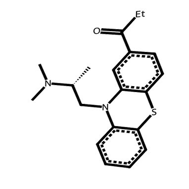 CCC(=O)c1ccc2c(c1)N(C[C@@H](C)N(C)C)c1ccccc1S2